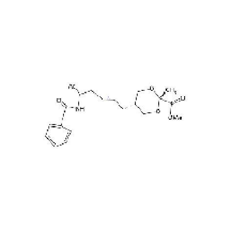 COC(=O)[C@]1(C)OC[C@H](C/C=C/CC(NC(=O)c2ccccc2)C(C)=O)CO1